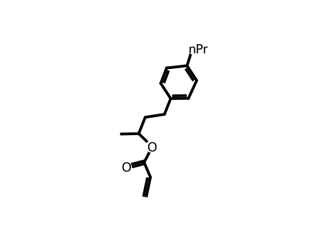 C=CC(=O)OC(C)CCc1ccc(CCC)cc1